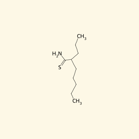 CCCCCC(CCC)C(N)=S